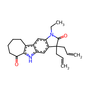 C=CCC1(CC=C)C(=O)N(CC)c2cc3c4c([nH]c3cc21)C(=O)CCCC4